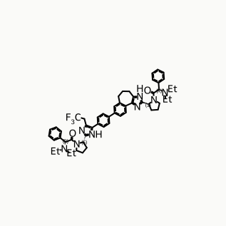 CCN(CC)[C@@H](C(=O)N1CCC[C@H]1c1nc2c([nH]1)CCCc1cc(-c3ccc(-c4[nH]c([C@@H]5CCCN5C(=O)[C@@H](c5ccccc5)N(CC)CC)nc4CC(F)(F)F)cc3)ccc1-2)c1ccccc1